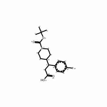 CC(C)(C)OC(=O)N1CCC(C(CC(=O)O)c2ccc(F)cc2)CC1